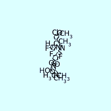 COc1cc(C(C)(C)C2CN=C(SCc3c(F)cc(S(=O)(=O)N(CCC[N+](C)(C)C)CC(=O)O)cc3F)N2c2ccc(F)cc2)ccc1Cl